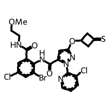 COCCNC(=O)c1cc(Cl)cc(Br)c1NC(=O)c1cc(OC2CC(=S)C2)nn1-c1ncccc1Cl